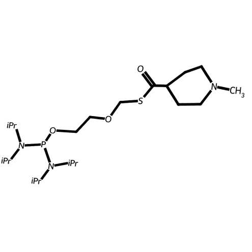 CC(C)N(C(C)C)P(OCCOCSC(=O)C1CCN(C)CC1)N(C(C)C)C(C)C